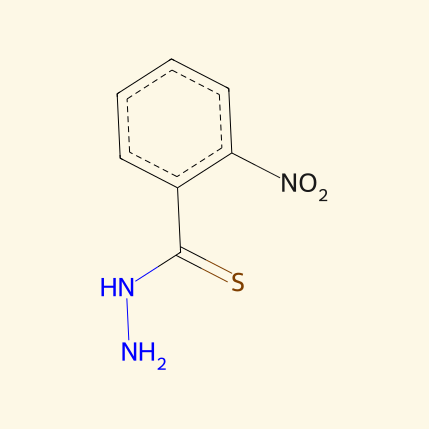 NNC(=S)c1ccccc1[N+](=O)[O-]